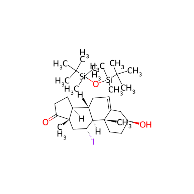 CC(C)(C)[Si](C)(C)O[Si](C)(C)C(C)(C)C.C[C@]12CC[C@H](O)CC1=CC[C@@H]1[C@@H]2[C@H](I)C[C@]2(C)C(=O)CC[C@@H]12